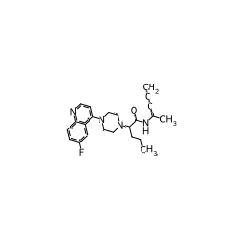 C=C=C=C(C)NC(=O)C(CCC)N1CCN(c2ccnc3ccc(F)cc23)CC1